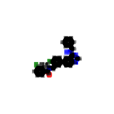 CN(Cc1cc(-c2ccc3ncnc(NCc4ccccc4)c3c2)ccc1F)C(=O)c1cccc(F)c1